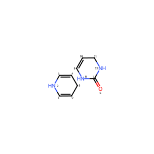 C1=CNC=CC1.O=C1NC=CCN1